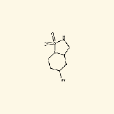 CC(C)C1CCN2C(CNS2(=O)=O)C1